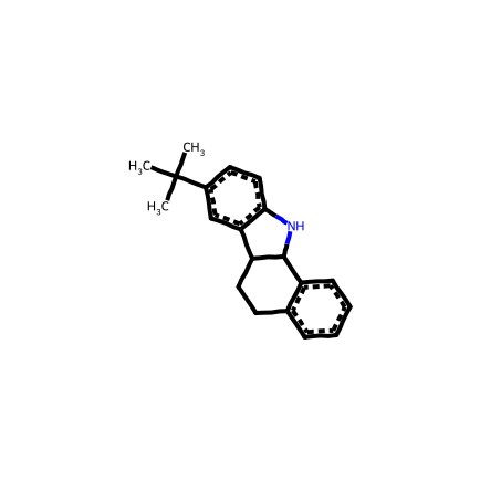 CC(C)(C)c1ccc2c(c1)C1CCc3ccccc3C1N2